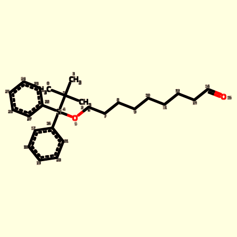 CC(C)(C)[Si](OCCCCCCCCC=O)(c1ccccc1)c1ccccc1